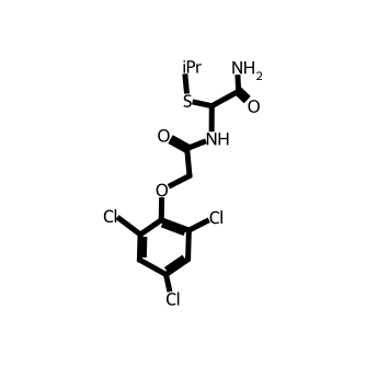 CC(C)SC(NC(=O)COc1c(Cl)cc(Cl)cc1Cl)C(N)=O